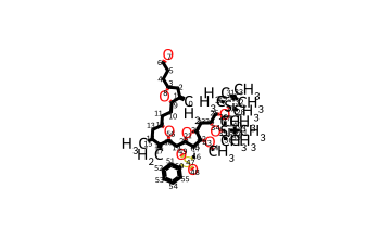 C=C1CC(CCC=O)OC1CCC1CC(C)C(=C)C(CC2OC(CC(CO[Si](C)(C)C(C)(C)C)O[Si](C)(C)C(C)(C)C)C(OC)[C@@H]2CS(=O)(=O)c2ccccc2)O1